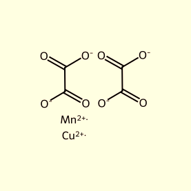 O=C([O-])C(=O)[O-].O=C([O-])C(=O)[O-].[Cu+2].[Mn+2]